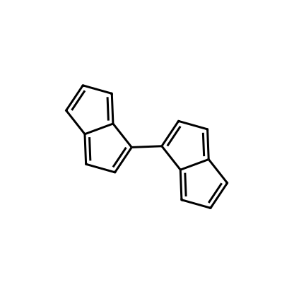 C1=CC2=CC=C(C3=CC=C4C=CC=C43)C2=C1